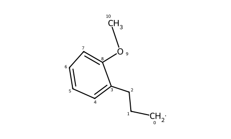 [CH2]CCc1ccccc1OC